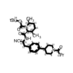 CC(C)C(=O)N1CCC(c2ccc(C[C@@H](C#N)NC(=O)[C@@H]3[C@H](C)CC[C@H](C)N3C(=O)OC(C)(C)C)cc2)CC1